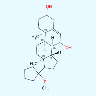 COC1(C2CC[C@H]3[C@@H]4C(O)C=C5CC(O)CC[C@]5(C)[C@@H]4CC[C@]23C)CCCC1